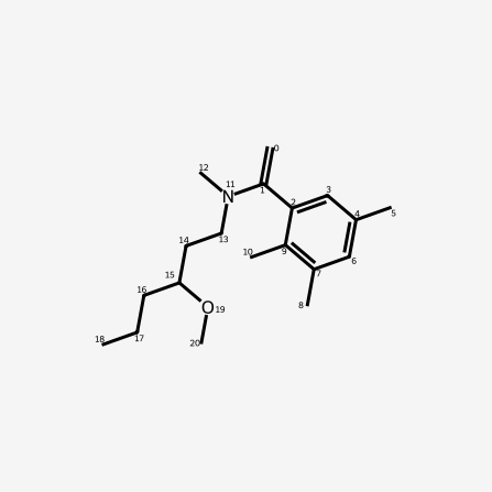 C=C(c1cc(C)cc(C)c1C)N(C)CCC(CCC)OC